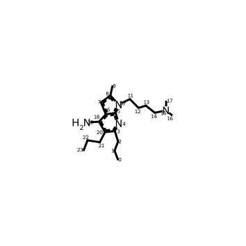 CCCc1nc2c(cc(C)n2CCCCN(C)C)c(N)c1CCC